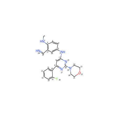 CNc1ccc(Nc2cc(-c3ccccc3F)nc(N3CCOCC3)n2)cc1C=N